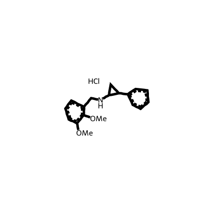 COc1cccc(CNC2CC2c2ccccc2)c1OC.Cl